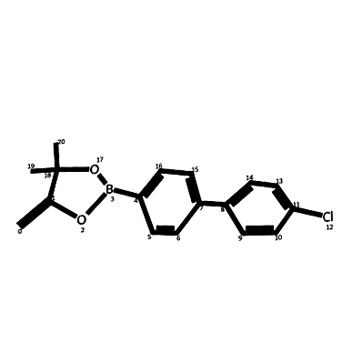 C=C1OB(c2ccc(-c3ccc(Cl)cc3)cc2)OC1(C)C